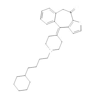 O=C1Cc2ccccc2C(=C2CCN(CCCCC3CCCCC3)CC2)c2ccsc21